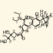 CCN(CC)C(=O)c1nc(C(=O)N2CC(O)(C(C)(C)O)C2)sc1-c1ccc(C(O)(C(F)(F)F)C(F)(F)F)c(Cl)c1Cl